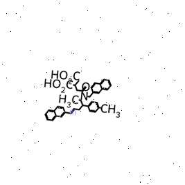 Cc1ccc(C(C/C=C/c2ccc3ccccc3c2)C(C)N(Cc2ccc3ccccc3c2)C(=O)CC(CC(=O)O)C(=O)O)cc1